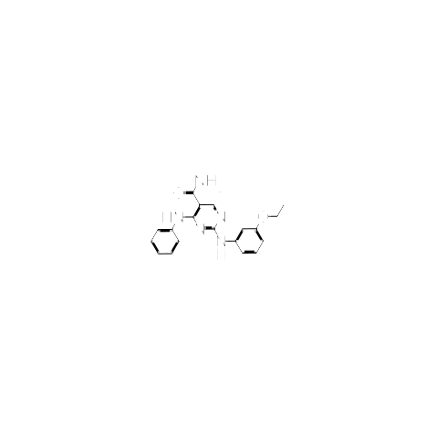 CCOc1cccc(Nc2ncc(C(N)=O)c(Nc3ccccc3)n2)c1